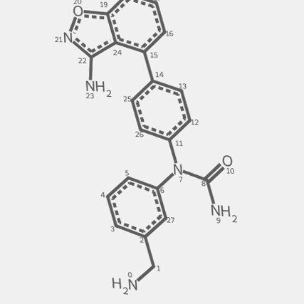 NCc1cccc(N(C(N)=O)c2ccc(-c3cccc4onc(N)c34)cc2)c1